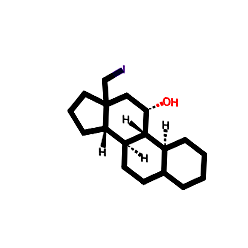 O[C@H]1CC2(CI)CCC[C@H]2[C@@H]2CCC3CCCC[C@@H]3[C@H]21